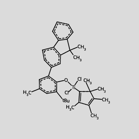 CC1=C(C)C(C)(C)[C]([Ti]([Cl])([Cl])[O]c2c(-c3ccc4c(c3)C(C)(C)c3ccccc3-4)cc(C)cc2C(C)(C)C)=C1C